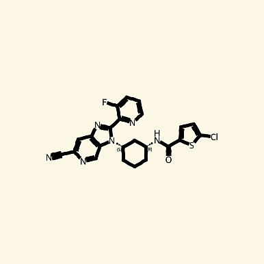 N#Cc1cc2nc(-c3ncccc3F)n([C@H]3CCC[C@@H](NC(=O)c4ccc(Cl)s4)C3)c2cn1